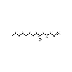 CCCCCCCCC([O])CSCC[O]